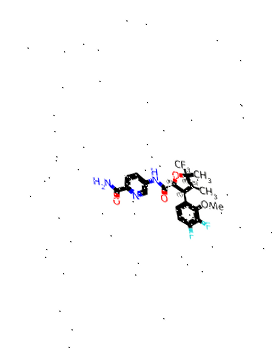 COc1c([C@H]2[C@H](C(=O)Nc3ccc(C(N)=O)nc3)O[C@@](C)(C(F)(F)F)[C@H]2C)ccc(F)c1F